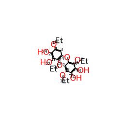 CCOc1cc(Oc2cc(OCC)c(O)c(O)c2OCC)c(OCC)c(O)c1O